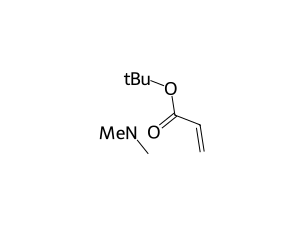 C=CC(=O)OC(C)(C)C.CNC